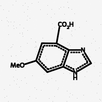 COc1cc(C(=O)O)c2nc[nH]c2c1